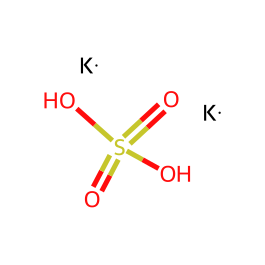 O=S(=O)(O)O.[K].[K]